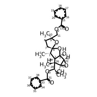 C[C@H]1[C@H]2[C@@](O)(O[C@]13CC[C@@](C)(COC(=O)c1ccccc1)O3)[C@H]1O[C@@]1(C)[C@]2(C)[C@@H](C)OC(=O)c1ccccc1